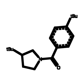 CC(C)(C)c1ccc(C(=O)N2CCC(C(C)(C)C)C2)cc1